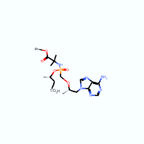 CC(C)OC(=O)C(C)(C)NP(=O)(CO[C@@H](C)Cn1cnc2c(N)ncnc21)O[C@@H](C)CC(=O)O